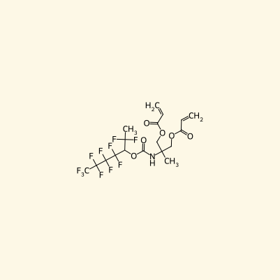 C=CC(=O)OCC(C)(COC(=O)C=C)NC(=O)OC(C(C)(F)F)C(F)(F)C(F)(F)C(F)(F)C(F)(F)F